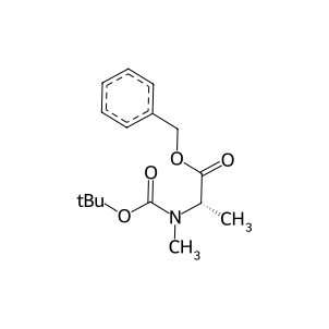 C[C@@H](C(=O)OCc1ccccc1)N(C)C(=O)OC(C)(C)C